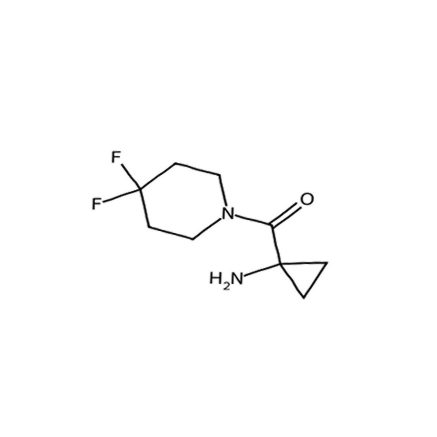 NC1(C(=O)N2CCC(F)(F)CC2)CC1